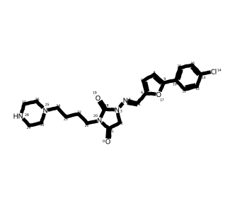 O=C1CN(N=Cc2ccc(-c3ccc(Cl)cc3)o2)C(=O)N1CCCCN1CCNCC1